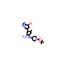 COc1cc(-c2cc(N)c(NC3CCN(C(=O)OC(C)(C)C)CC3)cc2C)cn2ncnc12